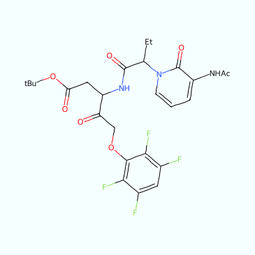 CCC(C(=O)NC(CC(=O)OC(C)(C)C)C(=O)COc1c(F)c(F)cc(F)c1F)n1cccc(NC(C)=O)c1=O